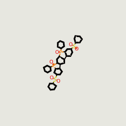 O=P1(c2ccccc2)c2cc(S(=O)(=O)c3ccccc3)ccc2-c2cc3c(cc21)P(=O)(c1ccccc1)c1cc(S(=O)(=O)c2ccccc2)ccc1-3